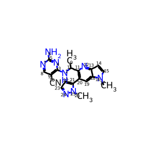 CC(Nc1nc(N)ncc1C#N)c1nc2ccn(C)c2cc1-c1ccnn1C